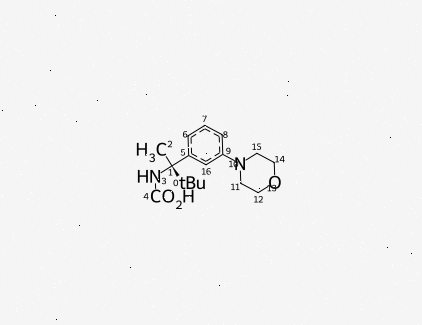 CC(C)(C)[C@](C)(NC(=O)O)c1cccc(N2CCOCC2)c1